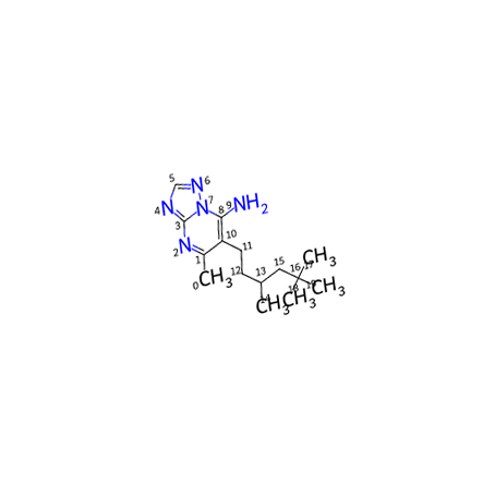 Cc1nc2ncnn2c(N)c1CCC(C)CC(C)(C)C